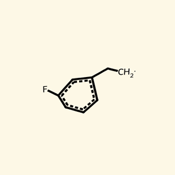 [CH2]Cc1cccc(F)c1